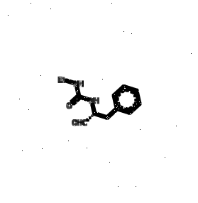 CCNC(=O)N[C@@H](C=O)Cc1ccccc1